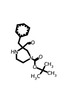 CC(C)(C)OC(=O)N1CCNC(C=O)(Cc2ccccc2)C1